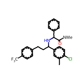 CNC(=O)C(NC(CCc1ccc(C(F)(F)F)cc1)c1ccc(Cl)c(C)c1)c1ccccc1